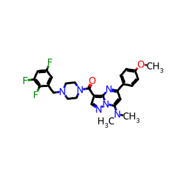 COc1ccc(-c2cc(N(C)C)n3ncc(C(=O)N4CCN(Cc5cc(F)cc(F)c5F)CC4)c3n2)cc1